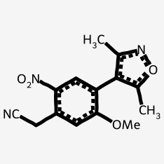 COc1cc(CC#N)c([N+](=O)[O-])cc1-c1c(C)noc1C